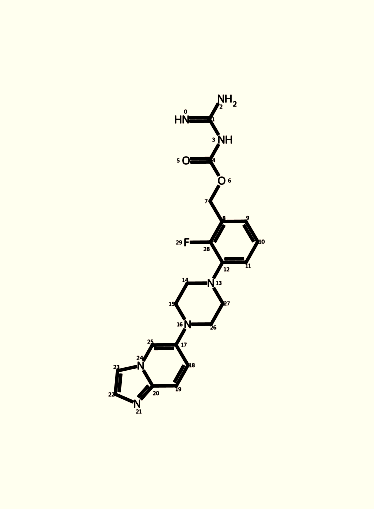 N=C(N)NC(=O)OCc1cccc(N2CCN(c3ccc4nccn4c3)CC2)c1F